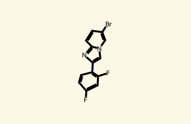 Fc1ccc(-c2cn3cc(Br)ccc3n2)c(F)c1